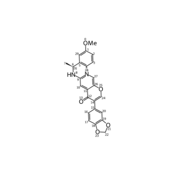 COc1cccc([C@H](C)Nc2cc3c(=O)c(-c4ccc5c(c4)OCO5)coc3cn2)c1